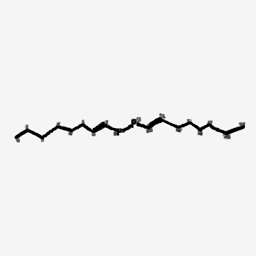 CCCCCCC=C[P][P]C=CCCCCCC